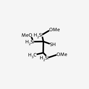 CO[SiH2]C(C)C(S)([SiH2]OC)[SiH2]OC